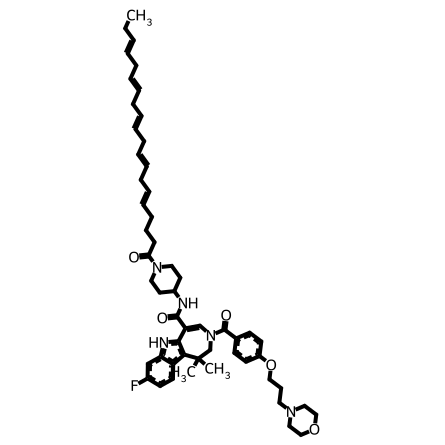 CCC=CCC=CCC=CCC=CCC=CCCCC(=O)N1CCC(NC(=O)C2=CN(C(=O)c3ccc(OCCCN4CCOCC4)cc3)CC(C)(C)c3c2[nH]c2cc(F)ccc32)CC1